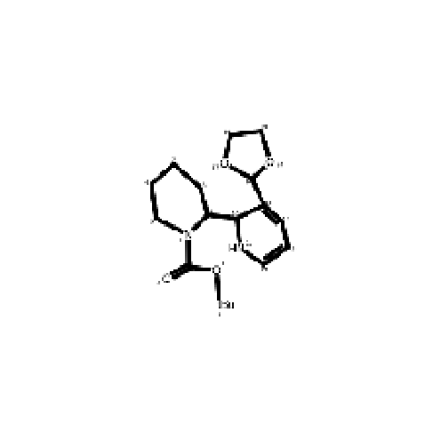 CC(C)(C)OC(=O)N1CCCCC1C1NC=CC=C1C1OCCO1